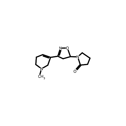 CN1CCC=C(C2=NOC(N3CCCC3=O)C2)C1